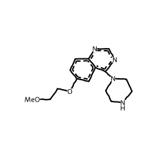 COCCOc1ccc2ncnc(N3CCNCC3)c2c1